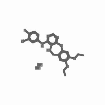 CCOc1cc2c(cc1OCC)Oc1ncnc(Nc3ccc(F)c(Cl)c3)c1NC2.Cl.Cl